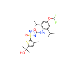 Cc1cc(C(C)(C)O)sc1[S@](N)(=O)=NC(=O)Nc1c(C(C)C)cc(OC(F)F)cc1C(C)C